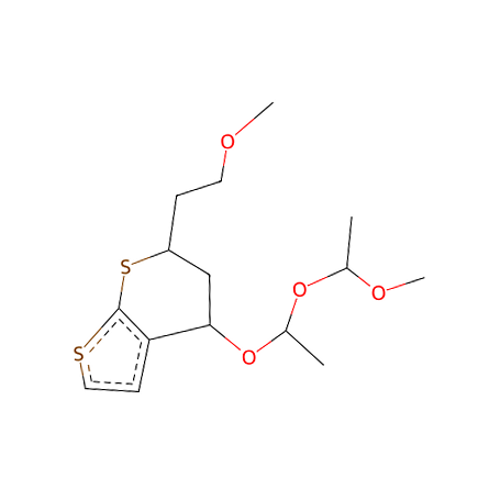 COCCC1CC(OC(C)OC(C)OC)c2ccsc2S1